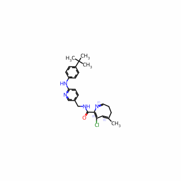 C\C1=C/C(Cl)=C(C(=O)NCc2ccc(Nc3ccc(C(C)(C)C)cc3)nc2)\N=C/CC1